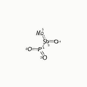 O=[P](=O)[Sb](=[O])=[Mo]